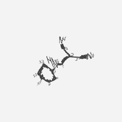 N#CC(C#N)=CNc1ccccc1